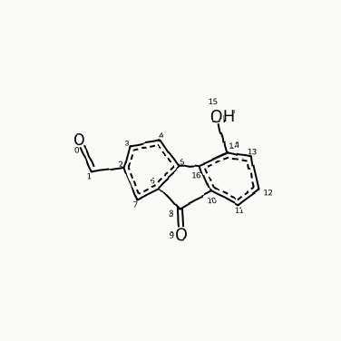 O=Cc1ccc2c(c1)C(=O)c1cccc(O)c1-2